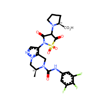 C[C@H]1Cn2ncc(N3C(=O)C(N4CCC[C@H]4C(=O)O)C(=O)S3(=O)=O)c2CN1C(=O)Nc1cc(F)c(F)c(F)c1